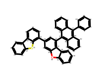 c1ccc(-c2c3ccccc3c(-c3cc(-c4cccc5c4sc4ccccc45)cc4oc5ccccc5c34)c3ccccc23)cc1